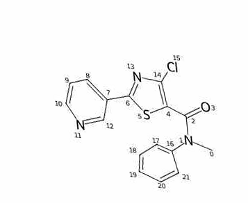 CN(C(=O)c1sc(-c2cccnc2)nc1Cl)c1ccccc1